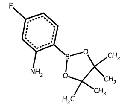 CC1(C)OB(c2ccc(F)cc2N)OC1(C)C